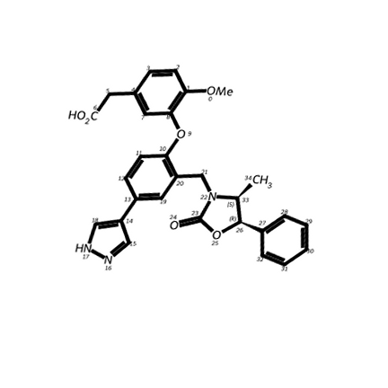 COc1ccc(CC(=O)O)cc1Oc1ccc(-c2cn[nH]c2)cc1CN1C(=O)O[C@H](c2ccccc2)[C@@H]1C